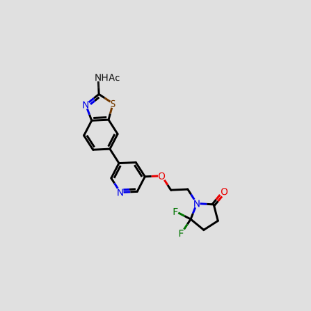 CC(=O)Nc1nc2ccc(-c3cncc(OCCN4C(=O)CCC4(F)F)c3)cc2s1